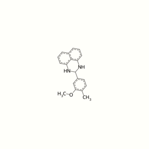 COc1cc(C2Nc3cccc4cccc(c34)N2)ccc1C